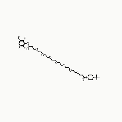 Cc1cc(F)c(F)c(OC(=O)CCOCCOCCOCCOCCOCCOCCOCCC(=O)N2CCC(C(C)(C)C)CC2)c1F